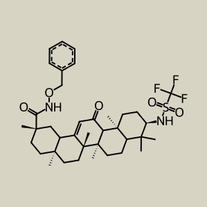 CC1(C)C2CC[C@]3(C)C(C(=O)C=C4C5C[C@@](C)(C(=O)NOCc6ccccc6)CC[C@]5(C)CC[C@]43C)[C@@]2(C)CC[C@H]1NS(=O)(=O)C(F)(F)F